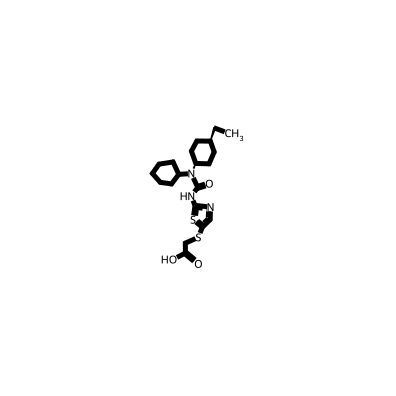 CC[C@H]1CC[C@H](N(C(=O)Nc2ncc(SCC(=O)O)s2)C2CCCCC2)CC1